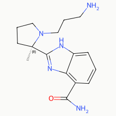 C[C@]1(c2nc3c(C(N)=O)cccc3[nH]2)CCCN1CCCN